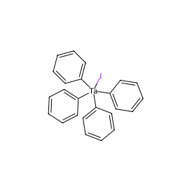 [I][Ta]([c]1ccccc1)([c]1ccccc1)([c]1ccccc1)[c]1ccccc1